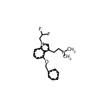 CN(C)CCc1cn(CC(F)F)c2cccc(OCc3ccccc3)c12